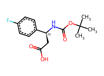 CC(C)(C)OC(=O)N[C@@H](CC(=O)O)c1ccc(F)cc1